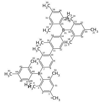 Cc1cc(C)c(B(c2ccc(-c3ccc(B(c4c(C)cc(C)cc4C)c4c(C)cc(C)cc4C)cc3C)c(C)c2)c2c(C)cc(C)cc2C)c(C)c1